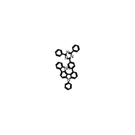 c1ccc(-c2nc(-c3ccccc3)nc(-c3ccc(-c4cccc5c4c4c6[nH]c7ccccc7c6ccc4n5-c4ccccc4)cc3)n2)cc1